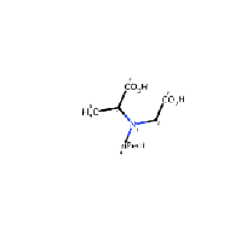 CCCCCN(CC(=O)O)C(C)C(=O)O